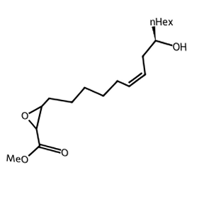 CCCCCC[C@@H](O)C/C=C\CCCCCC1OC1C(=O)OC